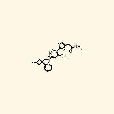 Cc1cc(NCC2(c3ccccn3)CC(F)C2)nnc1-c1ncc(CC(N)=O)s1